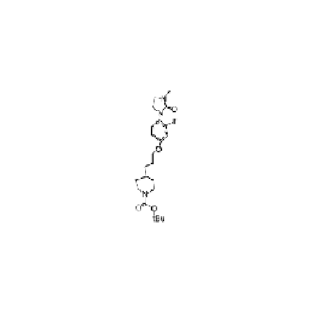 CN1CCN(c2ccc(OCCCC3CCN(C(=O)OC(C)(C)C)CC3)cc2F)C1=O